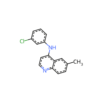 Cc1ccc2nccc(Nc3cccc(Cl)c3)c2c1